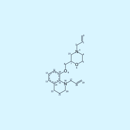 C=CCN1CCOC(COc2cccc3c2N(CC=C)CCC3)C1